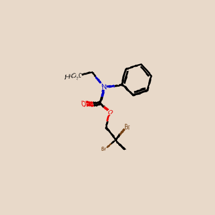 CC(Br)(Br)COC(=O)N(CC(=O)O)c1ccccc1